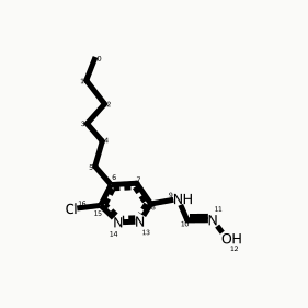 CCCCCCc1cc(NC=NO)nnc1Cl